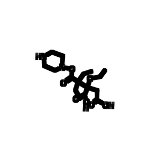 CCOC(CC(=O)O)(C(=O)O)C(CC)(CC)C(=O)ON1CCNCC1